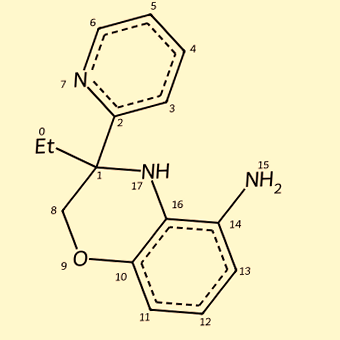 CCC1(c2ccccn2)COc2cccc(N)c2N1